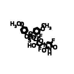 COc1ccc(OP(=S)(OC[C@@]2(C(F)F)O[C@@H](n3cc(F)c(=O)[nH]c3=O)[C@H](F)[C@@H]2O)Oc2ccc(OC)cc2)cc1